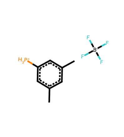 Cc1cc(C)cc([PH3+])c1.F[B-](F)(F)F